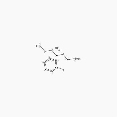 CCCCCCCCCCCCCCN.Cc1ccccn1.Cl